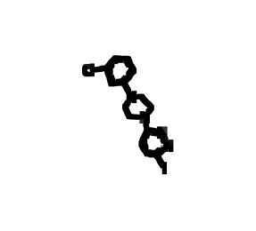 Clc1cccc(N2CCN(c3ccc(I)nn3)CC2)c1